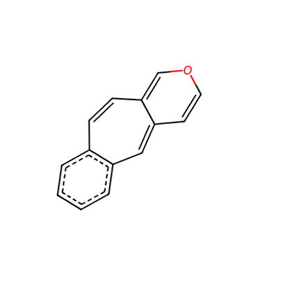 C1=CC2=Cc3ccccc3C=CC2=CO1